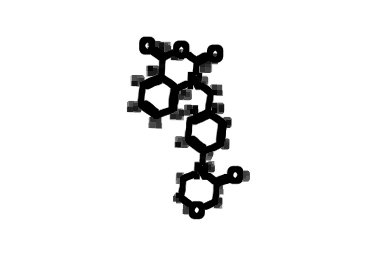 O=C1COCCN1c1ccc(Cn2c(=O)oc(=O)c3ccccc32)cc1